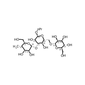 CCCO[C@H]1O[C@H](CO[C@H]2O[C@H](CO)[C@@H](O)[C@H](O)[C@@H]2O)[C@@H](O)[C@H](O[C@H]2O[C@H](CO)[C@@H](C)[C@H](O)[C@@H]2O)[C@@H]1O